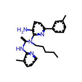 C=C(Nc1ncccc1C)N(CCCCC)c1nc(-c2cccc(C)c2)ccc1N